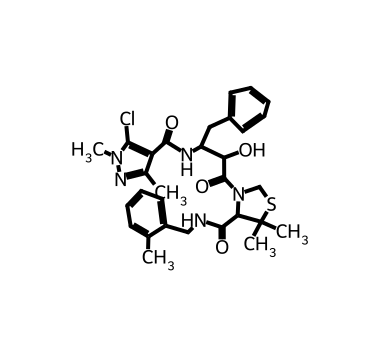 Cc1ccccc1CNC(=O)C1N(C(=O)C(O)C(Cc2ccccc2)NC(=O)c2c(C)nn(C)c2Cl)CSC1(C)C